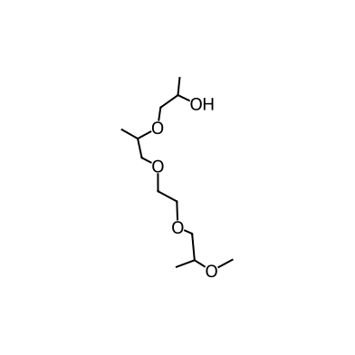 COC(C)COCCOCC(C)OCC(C)O